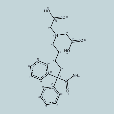 NC(=O)C(CCCCN(CC(=O)O)CC(=O)O)(c1ccccc1)c1ccccc1